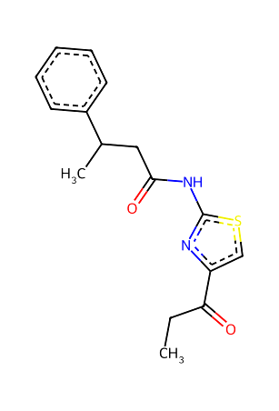 CCC(=O)c1csc(NC(=O)CC(C)c2ccccc2)n1